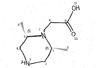 C[C@@H]1CNC[C@H](C)N1CC(=O)O